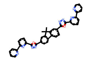 CC1(C)c2cc(-c3nnc(-c4cccc(-c5ccccn5)n4)o3)ccc2-c2ccc(-c3nnc(-c4cccc(-c5ccccn5)n4)o3)cc21